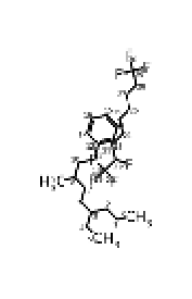 CCCC(CC)CCC(C)CP(c1ccccc1)C(F)(F)C(F)CCCCCCC(F)(F)F